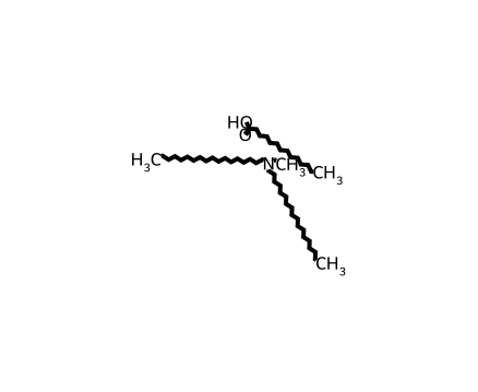 CCCCCCCCCCCCCC(=O)O.CCCCCCCCCCCCCCCCCCN(CC)CCCCCCCCCCCCCCCCCC